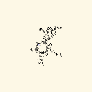 COc1ccc(C[C@H](NC(=O)[C@@H]2C/C=C/C[C@H](N)C(=O)N[C@@H](CCCCN)C(=O)N[C@@H](CCCCN)C(=O)N2)C(=O)N[C@@H](CC(C)C)C(=O)O)cc1